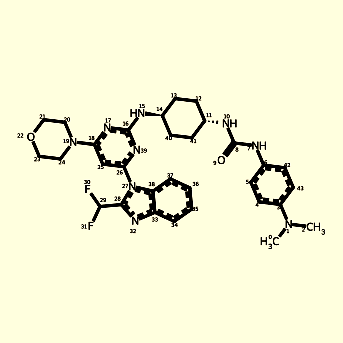 CN(C)c1ccc(NC(=O)N[C@H]2CC[C@H](Nc3nc(N4CCOCC4)cc(-n4c(C(F)F)nc5ccccc54)n3)CC2)cc1